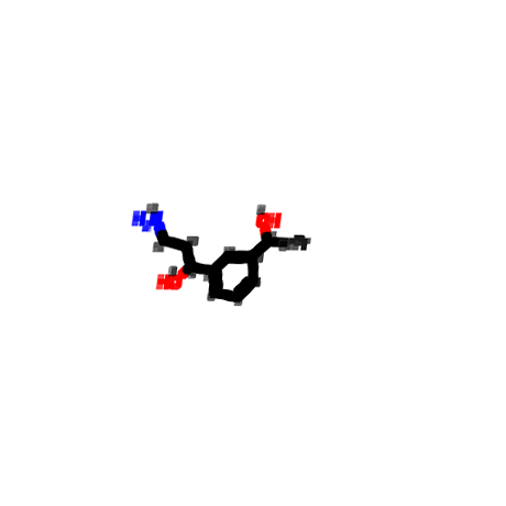 CCCC(O)c1cccc(C(O)CCN)c1